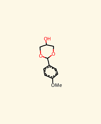 COc1ccc(C2OCC(O)CO2)cc1